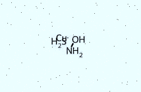 NO.S.[Cu]